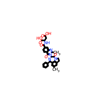 Cc1cc2c3c(c1)C(c1ccccc1)=NC(n1c(C)nc4cc(C(=O)NC(CC(=O)O)C(=O)O)ccc4c1=O)C(=O)N3CC2